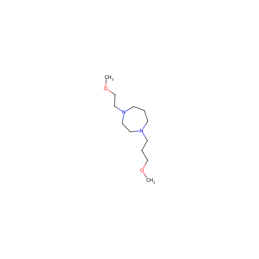 COCCCN1CCCN(CCOC)CC1